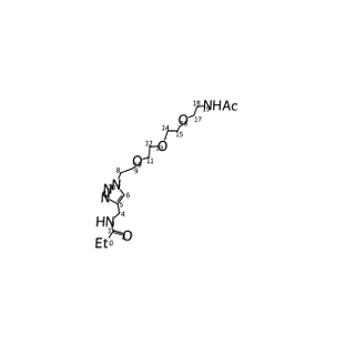 CCC(=O)NCc1cn(CCOCCOCCOCCNC(C)=O)nn1